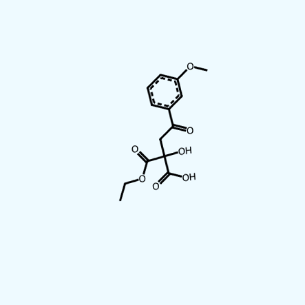 CCOC(=O)C(O)(CC(=O)c1cccc(OC)c1)C(=O)O